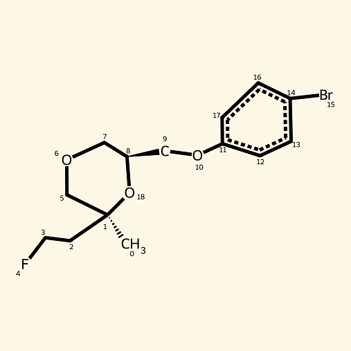 C[C@]1(CCF)COC[C@@H](COc2ccc(Br)cc2)O1